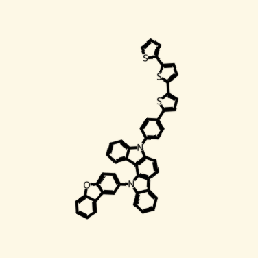 c1csc(-c2ccc(-c3ccc(-c4ccc(-n5c6ccccc6c6c5ccc5c7ccccc7n(-c7ccc8oc9ccccc9c8c7)c56)cc4)s3)s2)c1